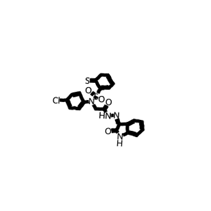 O=C(CN(c1ccc(Cl)cc1)S(=O)(=O)C1=CC=CCC1=S)N/N=C1\C(=O)Nc2ccccc21